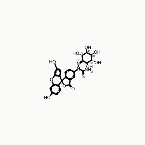 NC(=S)N(/N=C1\[C@@H](O)[C@@H](O)[C@H](O)[C@H](O)[C@H]1O)c1ccc2c(c1)C(=O)OC21c2ccc(O)cc2Oc2cc(O)ccc21